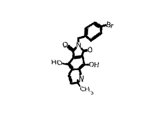 Cc1ccc2c(O)c3c(c(O)c2n1)C(=O)N(Cc1ccc(Br)cc1)C3=O